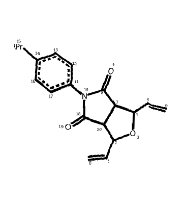 C=CC1OC(C=C)C2C(=O)N(c3ccc(C(C)C)cc3)C(=O)C12